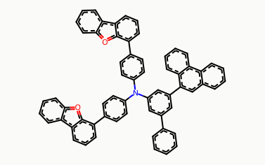 c1ccc(-c2cc(-c3cc4ccccc4c4ccccc34)cc(N(c3ccc(-c4cccc5c4oc4ccccc45)cc3)c3ccc(-c4cccc5c4oc4ccccc45)cc3)c2)cc1